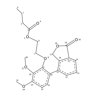 CCCC(=O)OCCOc1c(-c2cccc3c2COC3=O)ccc(OC)c1OC